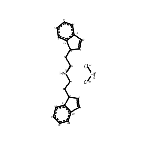 C1=CC(CC[SiH]CCC2C=Cc3ccccc32)c2ccccc21.[Cl][Hf][Cl]